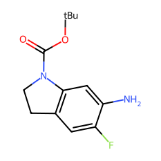 CC(C)(C)OC(=O)N1CCc2cc(F)c(N)cc21